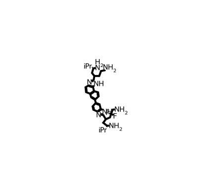 CC(C)[C@H](N)CC(CC(F)(F)CN)c1nc2ccc(-c3ccc4c(ccc5nc(C(CCCN)C[C@@H](N)C(C)C)[nH]c54)c3)cc2[nH]1